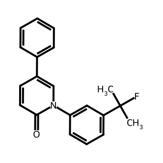 CC(C)(F)c1cccc(-n2cc(-c3ccccc3)ccc2=O)c1